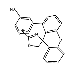 Cc1cncc(-c2cccc3c2C2(COC(N)=N2)c2ccccc2O3)c1